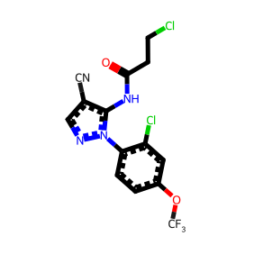 N#Cc1cnn(-c2ccc(OC(F)(F)F)cc2Cl)c1NC(=O)CCCl